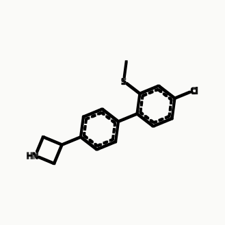 CSc1cc(Cl)ccc1-c1ccc(C2CNC2)cc1